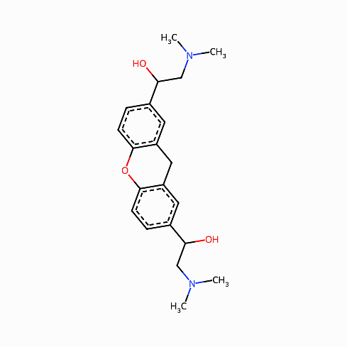 CN(C)CC(O)c1ccc2c(c1)Cc1cc(C(O)CN(C)C)ccc1O2